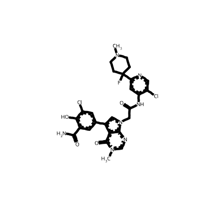 CN1CCC(F)(c2cc(NC(=O)Cn3cc(-c4cc(Cl)c(O)c(C(N)=O)c4)c4c(=O)n(C)cnc43)c(Cl)cn2)CC1